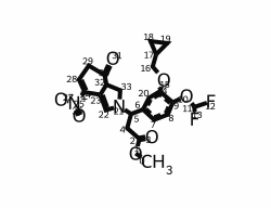 COC(=O)CC(c1ccc(OC(F)F)c(OCC2CC2)c1)N1C=C2C([N+](=O)[O-])=CCC(=O)C2C1